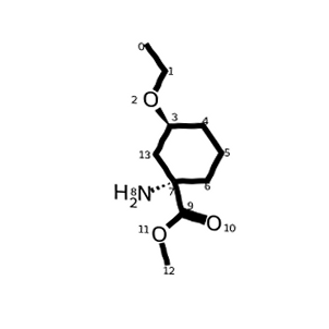 CCO[C@H]1CCC[C@@](N)(C(=O)OC)C1